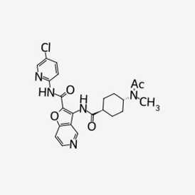 CC(=O)N(C)[C@H]1CC[C@H](C(=O)Nc2c(C(=O)Nc3ccc(Cl)cn3)oc3ccncc23)CC1